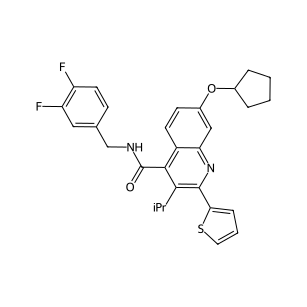 CC(C)c1c(-c2cccs2)nc2cc(OC3CCCC3)ccc2c1C(=O)NCc1ccc(F)c(F)c1